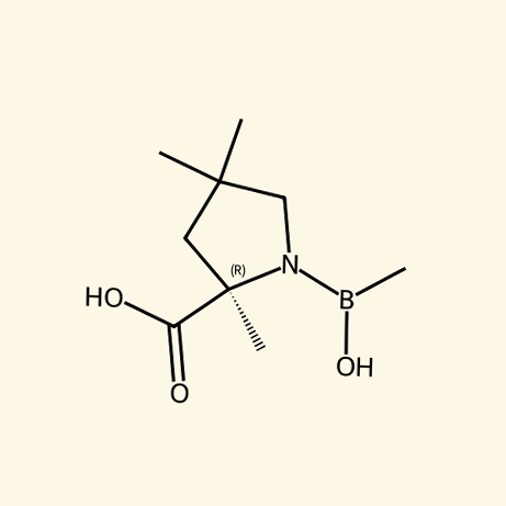 CB(O)N1CC(C)(C)C[C@]1(C)C(=O)O